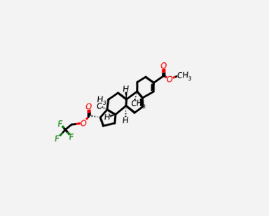 COC(=O)C1=CC2=CC[C@H]3[C@@H]4CC[C@H](C(=O)OCC(F)(F)F)[C@@]4(C)CC[C@@H]3[C@@]2(C)CC1